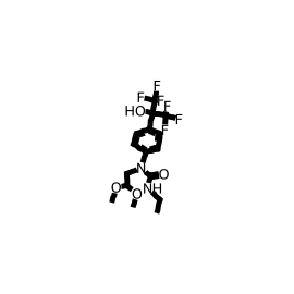 CCNC(=O)N(CC(OC)OC)c1ccc(C(O)(C(F)(F)F)C(F)(F)F)cc1